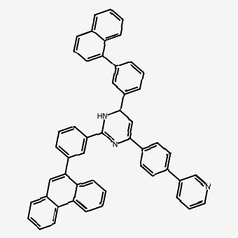 C1=C(c2ccc(-c3cccnc3)cc2)N=C(c2cccc(-c3cc4ccccc4c4ccccc34)c2)NC1c1cccc(-c2cccc3ccccc23)c1